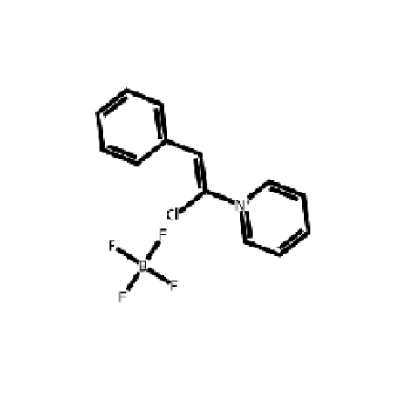 ClC(=Cc1ccccc1)[n+]1ccccc1.F[B-](F)(F)F